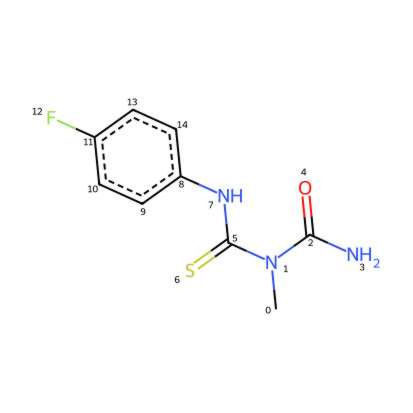 CN(C(N)=O)C(=S)Nc1ccc(F)cc1